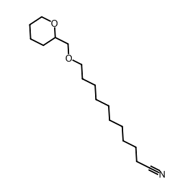 N#CCCCCCCCCCCOCC1CCCCO1